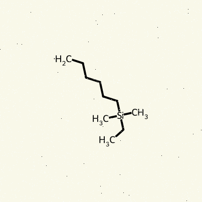 [CH2]CCCCC[Si](C)(C)CC